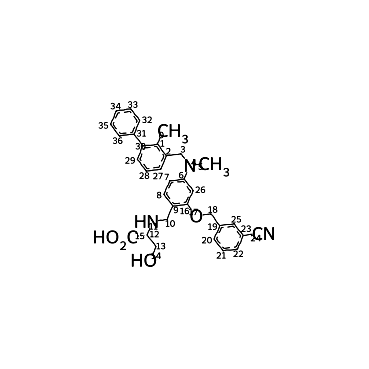 Cc1c(CN(C)c2ccc(CN[C@H](CO)C(=O)O)c(OCc3cccc(C#N)c3)c2)cccc1-c1ccccc1